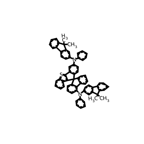 CC1(C)c2ccccc2-c2ccc(N(c3ccccc3)c3ccc4c(c3)-c3sc5ccccc5c3C43c4ccccc4-c4c(N(c5ccccc5)c5ccc6c(c5)C(C)(C)c5ccccc5-6)cccc43)cc21